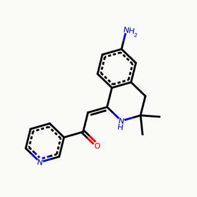 CC1(C)Cc2cc(N)ccc2C(=CC(=O)c2cccnc2)N1